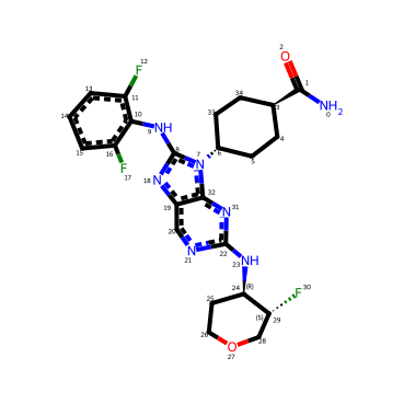 NC(=O)[C@H]1CC[C@H](n2c(Nc3c(F)cccc3F)nc3cnc(N[C@@H]4CCOC[C@H]4F)nc32)CC1